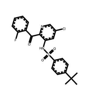 CC(C)(C)c1ccc(S(=O)(=O)Nc2cc(Cl)cnc2C(=O)c2ccccc2F)cc1